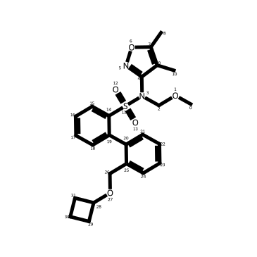 COCN(c1noc(C)c1C)S(=O)(=O)c1ccccc1-c1ccccc1COC1CCC1